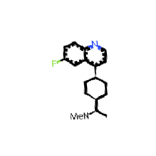 CN[C@H](C)[C@H]1CC[C@@H](c2ccnc3ccc(F)cc32)CC1